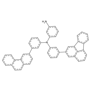 Nc1cccc(N(c2cccc(-c3cc4c5c(cccc5c3)-c3ccccc3-4)c2)c2cccc(-c3ccc4ccc5ccccc5c4c3)c2)c1